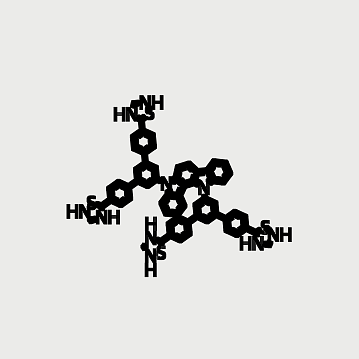 c1ccc2c(c1)c1c(ccc3c4ccccc4n(-c4cc(-c5ccc(C6NCNS6)cc5)cc(-c5ccc(C6NCNS6)cc5)c4)c31)n2-c1cc(-c2ccc(C3NCNS3)cc2)cc(-c2ccc(C3NCNS3)cc2)c1